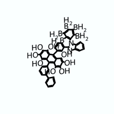 Bc1c(B)c(B)c(-n2c(-c3cccc(-c4c5c(O)c(O)c(O)c(O)c5c(-c5cccc(-c6ccccc6)c5)c5c(O)c(O)c(O)c(O)c45)c3)nc3ccccc32)c(B)c1B